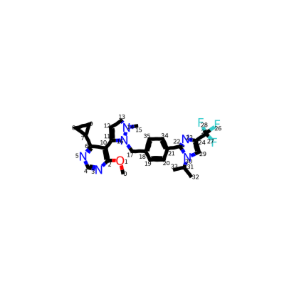 COc1ncnc(C2CC2)c1C1=CCN(C)N1Cc1ccc(-c2nc(C(F)(F)F)cn2C(C)C)cc1